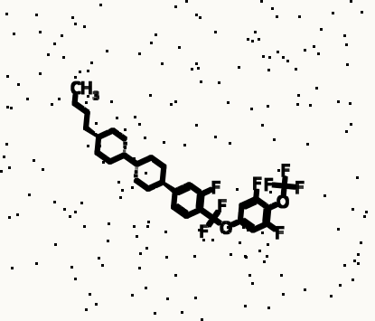 CCCC[C@H]1CC[C@H]([C@H]2CC[C@H](c3ccc(C(F)(F)Oc4cc(F)c(OC(F)(F)F)c(F)c4)c(F)c3)CC2)CC1